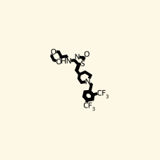 O=C1N=C(NCC2COCCO2)C(=CC2CCN(Cc3ccc(C(F)(F)F)cc3C(F)(F)F)CC2)S1